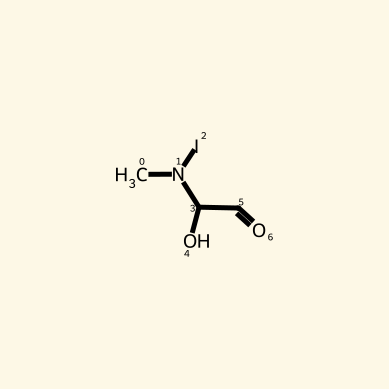 CN(I)C(O)C=O